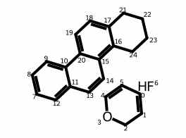 C1=CCOC=C1.F.c1ccc2c(c1)ccc1c3c(ccc12)CCCC3